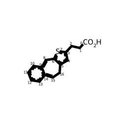 O=C(O)CCc1cc2c(s1)C=c1ccccc1=CC2